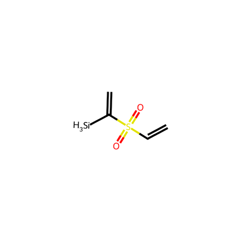 C=CS(=O)(=O)C(=C)[SiH3]